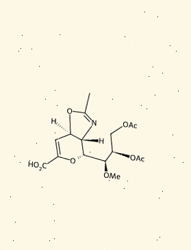 CO[C@@H]([C@@H]1OC(C(=O)O)=C[C@H]2OC(C)=N[C@H]12)[C@@H](COC(C)=O)OC(C)=O